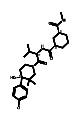 CNC(=O)[C@H]1CCC[C@@H](C(=O)N[C@@H](C(=O)N2CC[C@](O)(c3ccc(Cl)cc3)C(C)(C)C2)C(C)C)C1